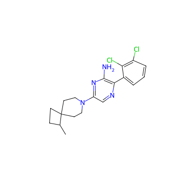 CC1CCC12CCN(c1cnc(-c3cccc(Cl)c3Cl)c(N)n1)CC2